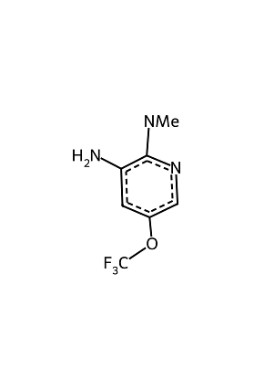 CNc1ncc(OC(F)(F)F)cc1N